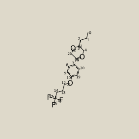 CCC[C@H]1CO[C@H](c2ccc(OCCCC(F)(F)F)cc2)CO1